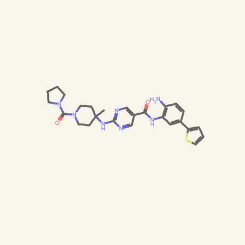 CC1(Nc2ncc(C(=O)Nc3cc(-c4cccs4)ccc3N)cn2)CCN(C(=O)N2CCCC2)CC1